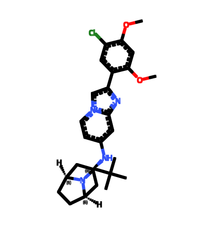 COc1cc(OC)c(-c2cn3ccc(N[C@H]4C[C@H]5CC[C@@H](C4)N5CC(C)(C)C)cc3n2)cc1Cl